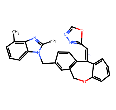 CCCc1nc2c(C)cccc2n1Cc1ccc2c(c1)COc1ccccc1/C2=C/c1nnco1